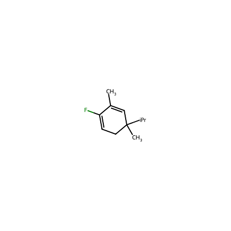 CC1=CC(C)(C(C)C)CC=C1F